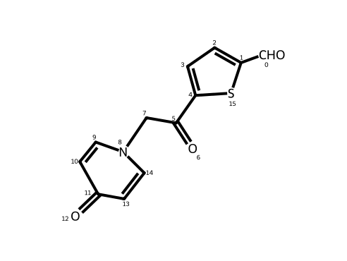 O=Cc1ccc(C(=O)Cn2ccc(=O)cc2)s1